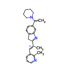 C=C(c1ccc2c(c1)N=C(/C(C)=C/c1cccnc1C)C2)N1CCCCC1